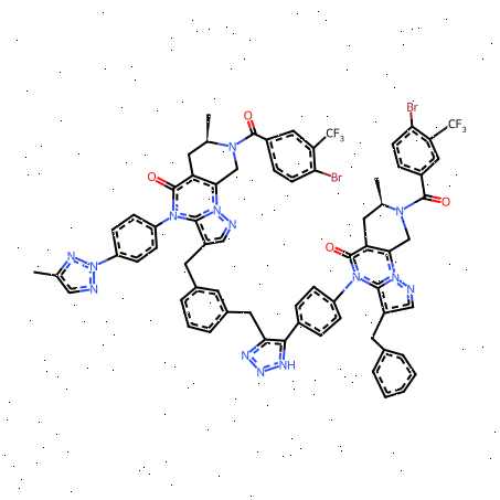 Cc1cnn(-c2ccc(-n3c(=O)c4c(n5ncc(Cc6cccc(Cc7nn[nH]c7-c7ccc(-n8c(=O)c9c(n%10ncc(Cc%11ccccc%11)c8%10)CN(C(=O)c8ccc(Br)c(C(F)(F)F)c8)[C@H](C)C9)cc7)c6)c35)CN(C(=O)c3ccc(Br)c(C(F)(F)F)c3)[C@H](C)C4)cc2)n1